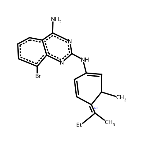 CC/C(C)=C1\C=CC(Nc2nc(N)c3cccc(Br)c3n2)=CC1C